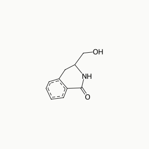 O=C1NC(CO)Cc2ccccc21